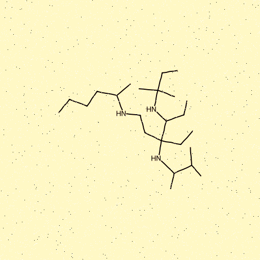 CCCCC(C)NCCC(CC)(NC(C)C(C)C)[C](CC)NC(C)(C)CC